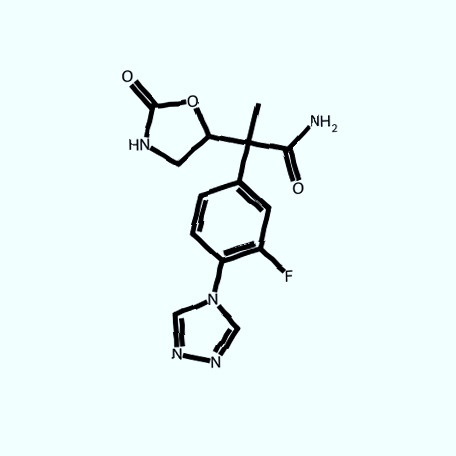 CC(C(N)=O)(c1ccc(-n2cnnc2)c(F)c1)C1CNC(=O)O1